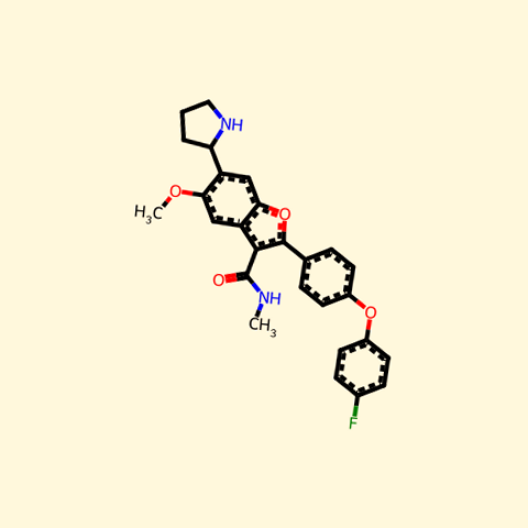 CNC(=O)c1c(-c2ccc(Oc3ccc(F)cc3)cc2)oc2cc(C3CCCN3)c(OC)cc12